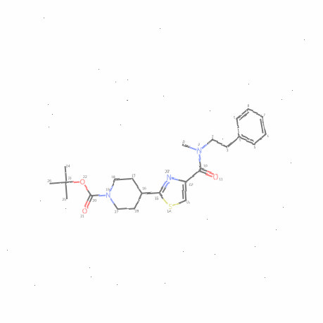 CN(CCc1ccccc1)C(=O)c1csc(C2CCN(C(=O)OC(C)(C)C)CC2)n1